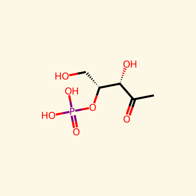 CC(=O)[C@@H](O)[C@@H](CO)OP(=O)(O)O